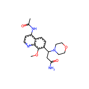 COc1c(C(CC(N)=O)N2CCOCC2)ccc2c(NC(C)=O)ccnc12